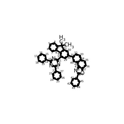 CC1(C)c2ccccc2-c2c(-c3nc(-c4ccccc4)nc(-c4ccccc4)n3)cc(-c3ccc4ccc5oc(-c6ccccc6)nc5c4c3)cc21